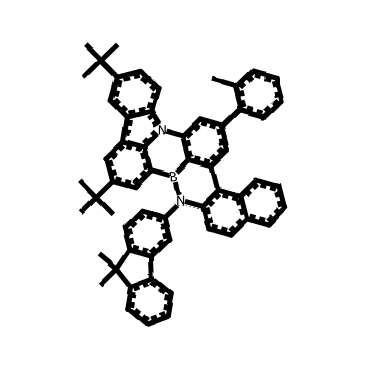 Cc1ccccc1-c1cc2c3c(c1)-n1c4ccc(C(C)(C)C)cc4c4cc(C(C)(C)C)cc(c41)B3N(c1ccc3c(c1)-c1ccccc1C3(C)C)c1ccc3ccccc3c1-2